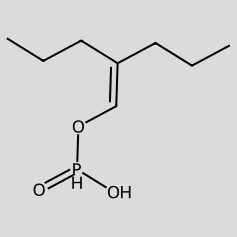 CCCC(=CO[PH](=O)O)CCC